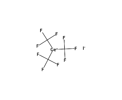 F[C](F)(F)[Ge+]([C](F)(F)F)[C](F)(F)F.[I-]